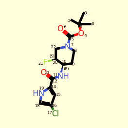 CC(C)(C)OC(=O)N1CC[C@@H](NC(=O)c2cc(Cl)c[nH]2)[C@@H](F)C1